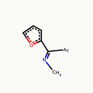 C/N=C(\C(C)=O)c1ccco1